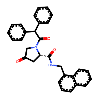 O=C1C[C@@H](C(=O)NCc2cccc3ccccc23)N(C(=O)C(c2ccccc2)c2ccccc2)C1